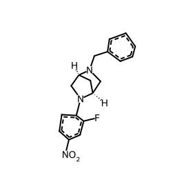 O=[N+]([O-])c1ccc(N2C[C@@H]3C[C@H]2CN3Cc2ccccc2)c(F)c1